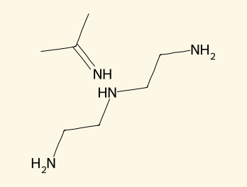 CC(C)=N.NCCNCCN